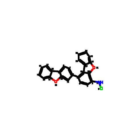 ClNc1ccc(-c2ccc3c(c2)oc2ccccc23)c2c1oc1ccccc12